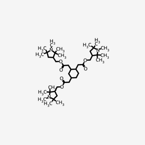 CN1C(C)(C)CC(COC(=O)CC2CCC(CC(=O)OCC3CC(C)(C)N(C)C3(C)C)C(CC(=O)OCC3CC(C)(C)N(C)C3(C)C)C2)C1(C)C